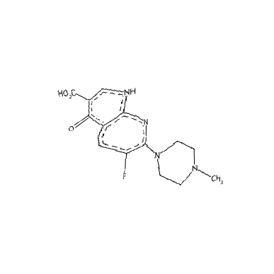 CN1CCN(c2nc3[nH]cc(C(=O)O)c(=O)c3cc2F)CC1